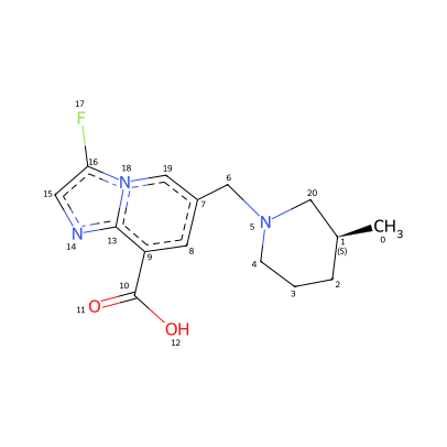 C[C@H]1CCCN(Cc2cc(C(=O)O)c3ncc(F)n3c2)C1